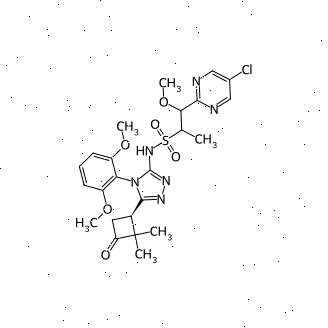 COc1cccc(OC)c1-n1c(NS(=O)(=O)C(C)C(OC)c2ncc(Cl)cn2)nnc1[C@@H]1CC(=O)C1(C)C